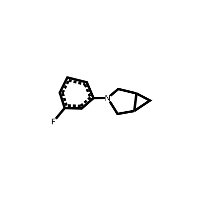 Fc1cccc(N2CC3CC3C2)c1